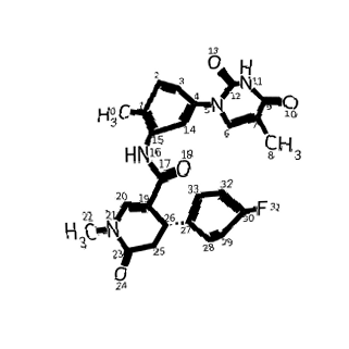 Cc1ccc(-n2cc(C)c(=O)[nH]c2=O)cc1NC(=O)C1=CN(C)C(=O)C[C@H]1c1ccc(F)cc1